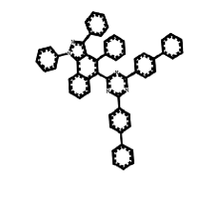 c1ccc(-c2ccc(-c3nc(-c4ccc(-c5ccccc5)cc4)nc(-c4c(-c5ccccc5)c5c(-c6ccccc6)nn(-c6ccccc6)c5c5ccccc45)n3)cc2)cc1